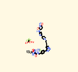 CC(C)(C)c1nc(C(=O)NCc2ccc(-c3ncnn4cc(CCCCN5CCC(c6ccc(NC7CCC(=O)NC7=O)cn6)CC5)cc34)cc2F)no1.O=C(O)C(F)(F)F